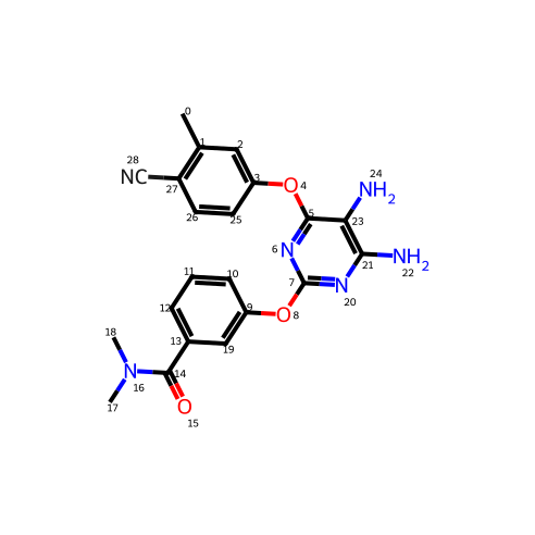 Cc1cc(Oc2nc(Oc3cccc(C(=O)N(C)C)c3)nc(N)c2N)ccc1C#N